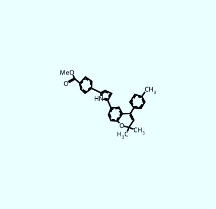 COC(=O)c1ccc(-c2ccc(-c3ccc4c(c3)C(c3ccc(C)cc3)=CC(C)(C)O4)[nH]2)cc1